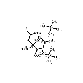 CCCCC(CC)CC(C(=O)[O-])C(CC(CC)CCCC)(C(=O)[O-])S(=O)(=O)O.C[N+](C)(C)C.C[N+](C)(C)C